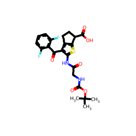 CC(C)(C)OC(=O)NCC(=O)Nc1sc2c(c1C(=O)c1c(F)cccc1F)CCC2C(=O)O